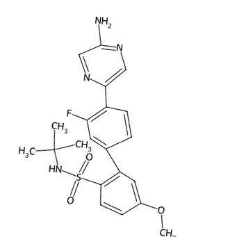 COc1ccc(S(=O)(=O)NC(C)(C)C)c(-c2ccc(-c3cnc(N)cn3)c(F)c2)c1